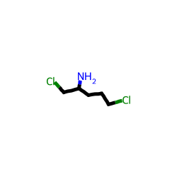 NC(CCl)CCCCl